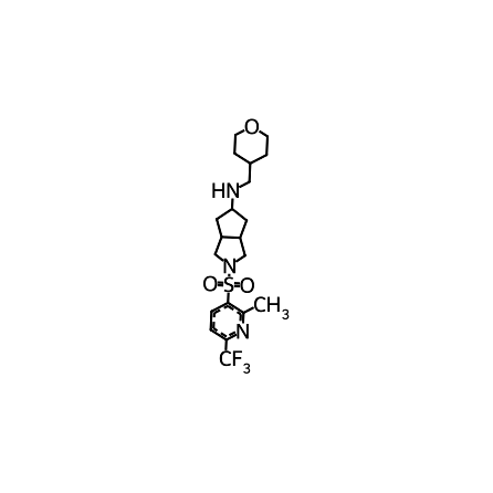 Cc1nc(C(F)(F)F)ccc1S(=O)(=O)N1CC2CC(NCC3CCOCC3)CC2C1